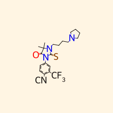 CC1(C)C(=O)N(c2ccc(C#N)c(C(F)(F)F)c2)C(=S)N1CCCCN1CCCC1